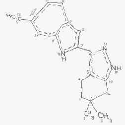 CC1(C)CCc2c(-c3cc4ccc(C(=O)O)cc4[nH]3)n[nH]c2C1